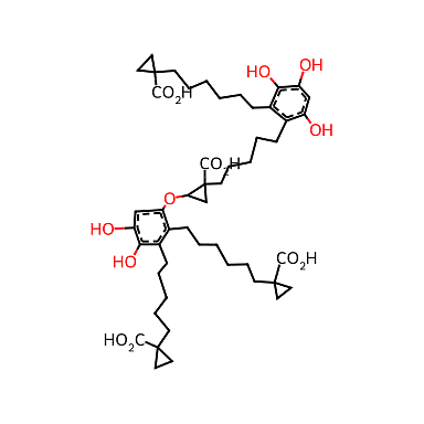 O=C(O)C1(CCCCCCc2c(OC3CC3(CCCCCc3c(O)cc(O)c(O)c3CCCCCCC3(C(=O)O)CC3)C(=O)O)cc(O)c(O)c2CCCCCC2(C(=O)O)CC2)CC1